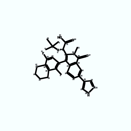 Cc1c(-c2c([C@H](OC(C)(C)C)C(=O)O)n(C)c(=O)c3cc(-c4cn[nH]c4)ccc23)cc(F)c2c1CCCO2